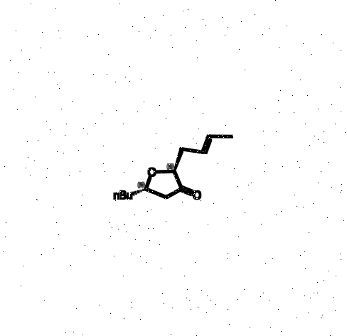 CC=CC[C@@H]1O[C@@H](CCCC)CC1=O